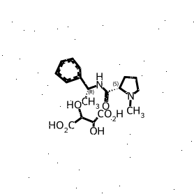 C[C@@H](NC(=O)[C@@H]1CCCN1C)c1ccccc1.O=C(O)C(O)C(O)C(=O)O